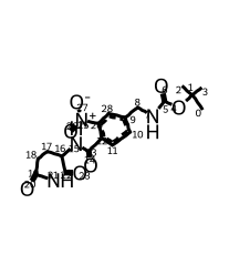 CC(C)(C)OC(=O)NCc1ccc(C(=O)NC2CCC(=O)NC2=O)c([N+](=O)[O-])c1